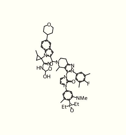 CCP(=O)(CC)c1c(C)cc(-n2ccn(-c3c4c(nn3-c3cc(C)c(F)c(C)c3)CCN(C(=O)c3cc5cc(C6CCOCC6)ccc5n3C3(C5=NOC(O)N5)CC3C)C4C)c2=O)cc1NC